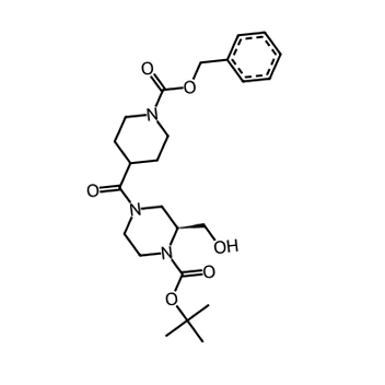 CC(C)(C)OC(=O)N1CCN(C(=O)C2CCN(C(=O)OCc3ccccc3)CC2)C[C@H]1CO